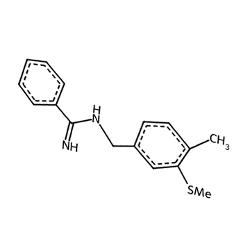 CSc1cc(CNC(=N)c2ccccc2)ccc1C